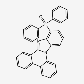 O=P(c1ccccc1)(c1ccccc1)c1cccc2c1nc1c3ccccc3c3ccccc3n21